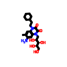 Cc1cc2c(cc1N)n(C[C@H](O)[C@H](O)[C@H](O)CO)c(=O)c(=O)n2CCC1CCCCC1